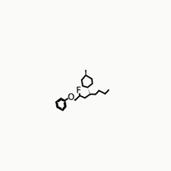 CCCCC(CC(F)COc1ccccc1)[C@H]1CC[C@H](C)CC1